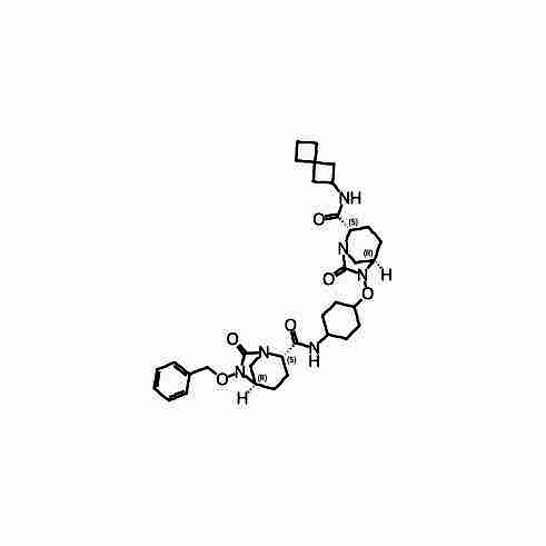 O=C(NC1CCC(ON2C(=O)N3C[C@H]2CC[C@H]3C(=O)NC2CC3(CCC3)C2)CC1)[C@@H]1CC[C@@H]2CN1C(=O)N2OCc1ccccc1